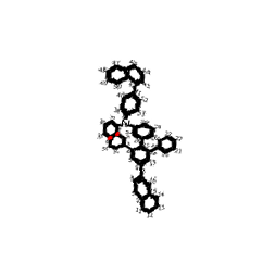 c1ccc(-c2cc(-c3ccc4ccccc4c3)cc(-c3ccccc3)c2-c2cccc(N(c3ccccc3)c3ccc(-c4cccc5ccccc45)cc3)c2)cc1